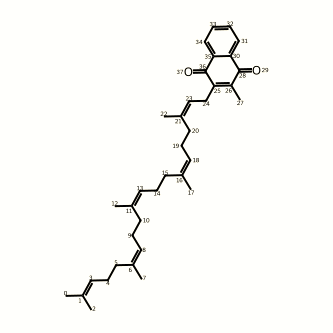 CC(C)=CCCC(C)=CCCC(C)=CCCC(C)=CCCC(C)=CCC1=C(C)C(=O)c2ccccc2C1=O